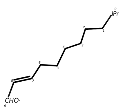 CC(C)CCCCCCC=C[C]=O